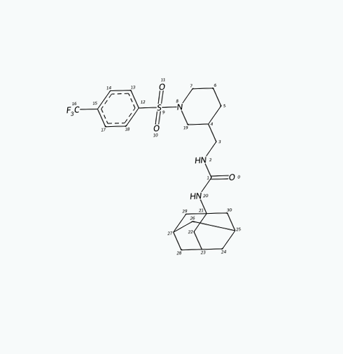 O=C(NCC1CCCN(S(=O)(=O)c2ccc(C(F)(F)F)cc2)C1)NC12CC3CC(CC(C3)C1)C2